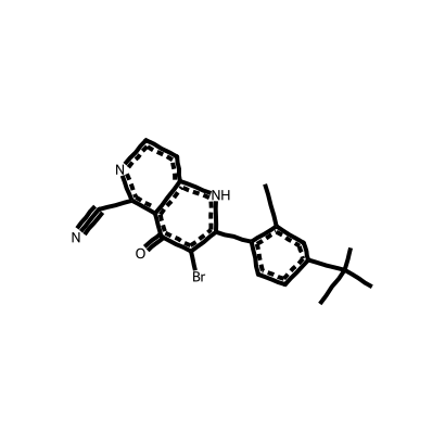 Cc1cc(C(C)(C)C)ccc1-c1[nH]c2ccnc(C#N)c2c(=O)c1Br